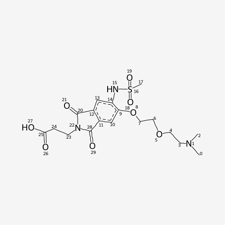 CN(C)CCOCCOc1cc2c(cc1NS(C)(=O)=O)C(=O)N(CCC(=O)O)C2=O